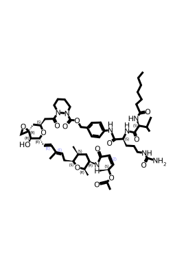 CCCCCCC(=O)N[C@H](C(=O)N[C@@H](CCCNC(N)=O)C(=O)Nc1ccc(COC(=O)N2CCCCN2C(=O)C[C@@H]2C[C@@]3(CO3)[C@H](O)[C@@H](/C=C/C(C)=C/C[C@@H]3O[C@H](C)[C@H](NC(=O)/C=C\[C@H](C)OC(C)=O)C[C@@H]3C)O2)cc1)C(C)C